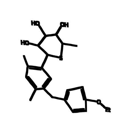 CCOc1ccc(Cc2cc(C3SC(C)C(O)C(O)C3O)c(C)cc2C)cc1